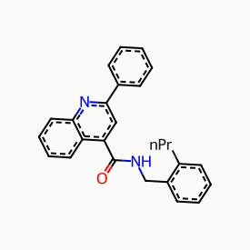 CCCc1ccccc1CNC(=O)c1cc(-c2ccccc2)nc2ccccc12